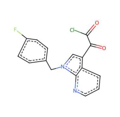 O=C(Cl)C(=O)c1cn(Cc2ccc(F)cc2)c2ncccc12